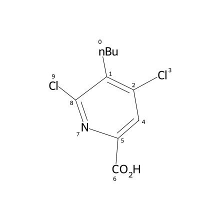 CCCCc1c(Cl)cc(C(=O)O)nc1Cl